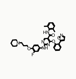 Cc1cccc(C)c1NC(=O)c1cnc(Nc2ccc(OCCCN3CCCCC3)c(F)c2)nc1Oc1ccccc1-c1ccno1